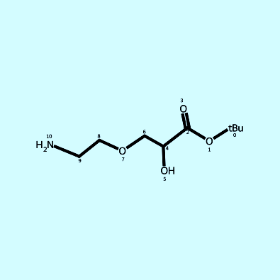 CC(C)(C)OC(=O)C(O)COCCN